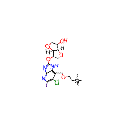 C[Si](C)(C)CCOCc1c(Cl)c(I)nc2nc(O[C@@H]3CO[C@H]4[C@@H]3OC[C@H]4O)[nH]c12